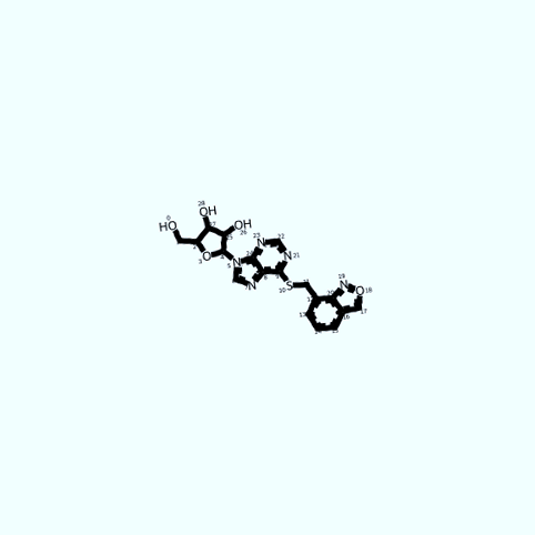 OCC1OC(n2cnc3c(SCc4cccc5conc45)ncnc32)C(O)C1O